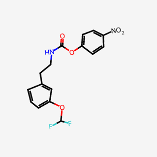 O=C(NCCc1cccc(OC(F)F)c1)Oc1ccc([N+](=O)[O-])cc1